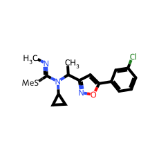 CN=C(SC)N(C1CC1)C(C)c1cc(-c2cccc(Cl)c2)on1